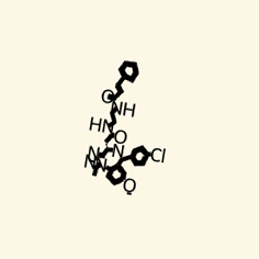 COc1ccc2c(c1)C(c1ccc(Cl)cc1)=N[C@@H](CC(=O)NCCNC(=O)C=Cc1ccccc1)c1nnc(C)n1-2